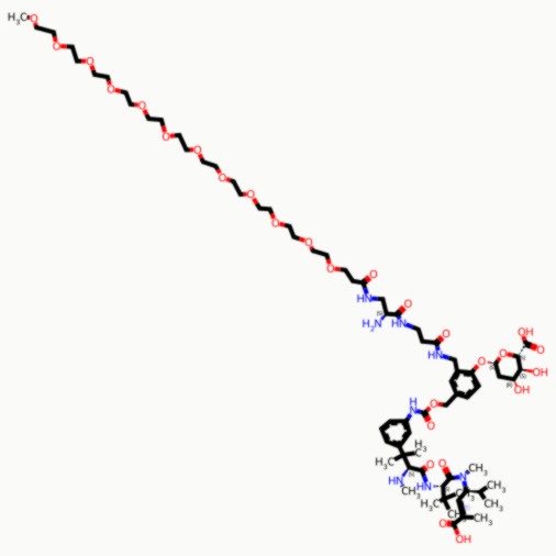 CN[C@H](C(=O)N[C@H](C(=O)N(C)[C@H](/C=C(\C)C(=O)O)C(C)C)C(C)(C)C)C(C)(C)c1cccc(NC(=O)OCc2ccc(O[C@H]3C[C@@H](O)[C@H](O)[C@@H](C(=O)O)O3)c(CNC(=O)CCNC(=O)[C@@H](N)CNC(=O)CCOCCOCCOCCOCCOCCOCCOCCOCCOCCOCCOCCOC)c2)c1